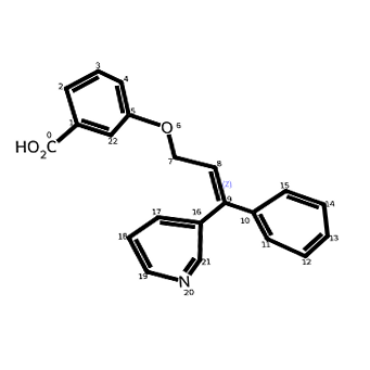 O=C(O)c1cccc(OC/C=C(/c2ccccc2)c2cccnc2)c1